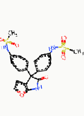 CS(=O)(=O)Nc1ccc(C2(c3ccc(NS(C)(=O)=O)cc3)C(=O)Nc3occc32)cc1